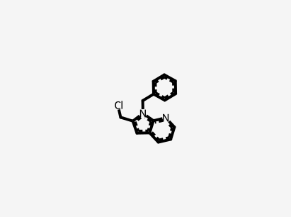 ClCc1cc2cccnc2n1Cc1ccccc1